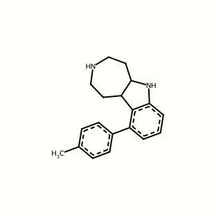 Cc1ccc(-c2cccc3c2C2CCNCCC2N3)cc1